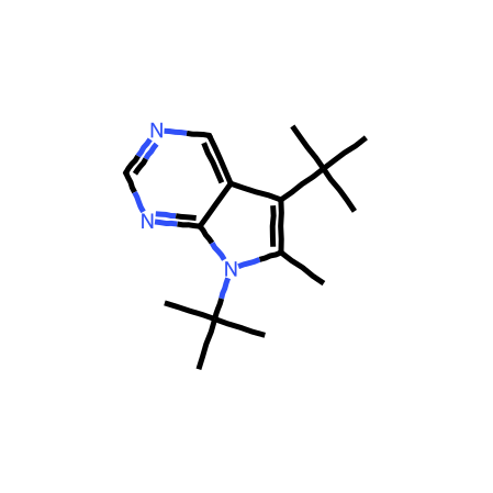 Cc1c(C(C)(C)C)c2cncnc2n1C(C)(C)C